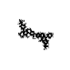 CC(C)c1c(N(c2ccccc2)c2ccc(C(C)(C)C)cc2)ccc2cc3c(cc12)oc1cc2c(C(C)C)c(N(c4ccccc4)c4ccc(C(C)(C)C)cc4)ccc2cc13